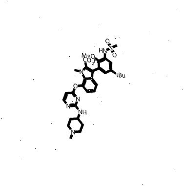 COc1c(NS(C)(=O)=O)cc(C(C)(C)C)cc1-c1c(C(=O)O)n(C)c2c(Oc3ccnc(NC4CCN(C)CC4)n3)cccc12